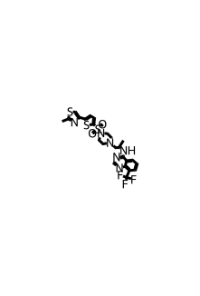 Cc1nc(-c2ccc(S(=O)(=O)N3CCN(CC(C)Nc4ncnc5c(C(F)(F)F)cccc45)CC3)s2)cs1